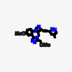 COCc1nnc2n1Cc1c(C#Cc3cc(C)cnn3)ncn1-c1ccc(OC)cc1-2